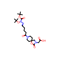 CC(C)(C)OC(=O)N(N=CCCCC(=O)N1CCC2(CC1)CN(CC(=O)O)C(=O)O2)OC(C)(C)C